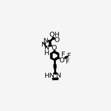 O=C(O)c1nn[nH]c1Oc1ccc(C#Cc2ncc[nH]2)c(OC(F)(F)F)c1